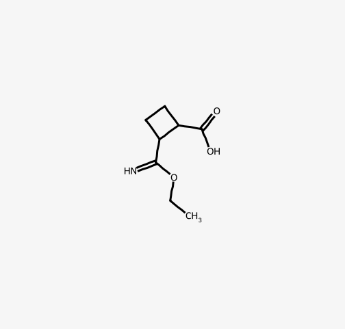 CCOC(=N)C1CCC1C(=O)O